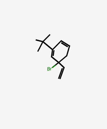 C=CC1(Br)C=C(C(C)(C)C)C=CC1